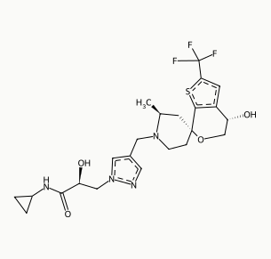 C[C@H]1C[C@@]2(CCN1Cc1cnn(C[C@H](O)C(=O)NC3CC3)c1)OC[C@@H](O)c1cc(C(F)(F)F)sc12